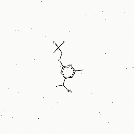 Cc1cc(C(C)N)cc(OCC(F)(F)F)n1